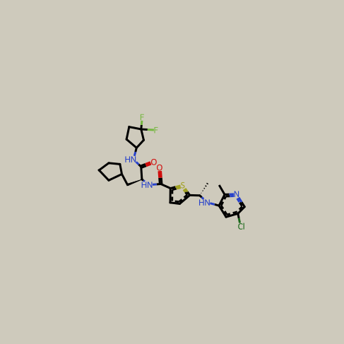 Cc1ncc(Cl)cc1N[C@@H](C)c1ccc(C(=O)N[C@@H](CC2CCCC2)C(=O)NC2CCC(F)(F)C2)s1